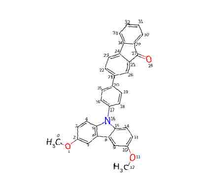 COc1ccc2c(c1)c1cc(OC)ccc1n2-c1ccc(-c2ccc3c(c2)C(=O)c2ccccc2-3)cc1